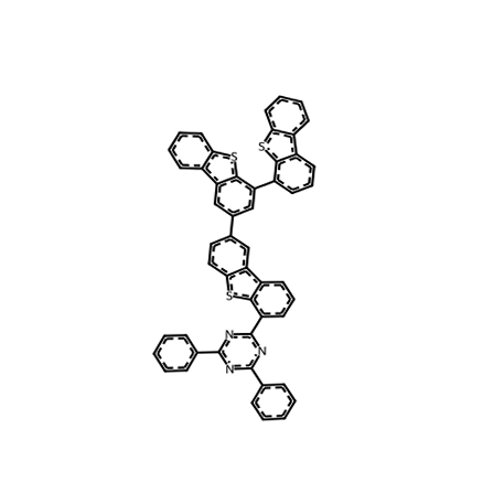 c1ccc(-c2nc(-c3ccccc3)nc(-c3cccc4c3sc3ccc(-c5cc(-c6cccc7c6sc6ccccc67)c6sc7ccccc7c6c5)cc34)n2)cc1